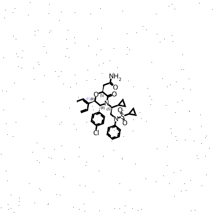 C=C/C(=C\C)[C@H]1O[C@@H](CC(N)=O)C(=O)N([C@H](CN(c2ccccc2)S(=O)(=O)C2CC2)C2CC2)[C@@H]1c1ccc(Cl)cc1